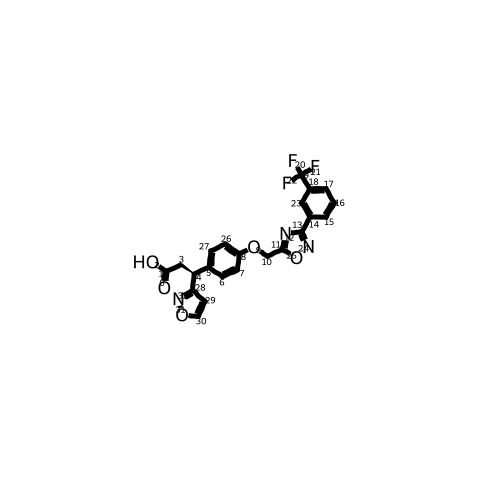 O=C(O)C[C@@H](c1ccc(OCc2nc(-c3cccc(C(F)(F)F)c3)no2)cc1)c1ccon1